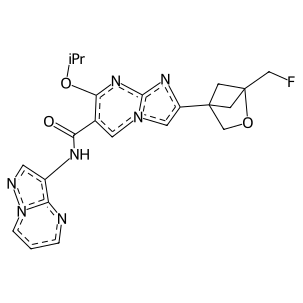 CC(C)Oc1nc2nc(C34COC(CF)(C3)C4)cn2cc1C(=O)Nc1cnn2cccnc12